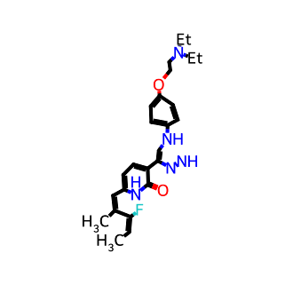 C/C=C(F)\C(C)=C/c1ccc(/C(=C/Nc2ccc(OCCN(CC)CC)cc2)N=N)c(=O)[nH]1